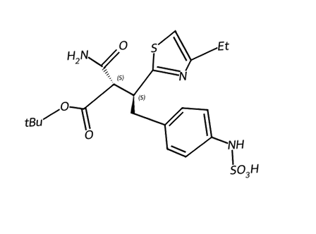 CCc1csc([C@@H](Cc2ccc(NS(=O)(=O)O)cc2)[C@@H](C(N)=O)C(=O)OC(C)(C)C)n1